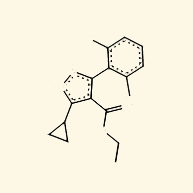 CCOC(=O)c1c(-c2c(C)cccc2F)noc1C1CC1